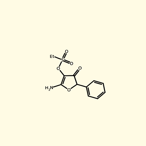 CCS(=O)(=O)OC1=C(N)OC(c2ccccc2)C1=O